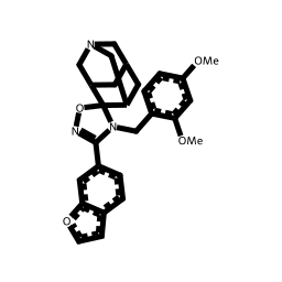 COc1ccc(CN2C(c3ccc4ccoc4c3)=NOC23C2CC4CC3CN(C4)C2)c(OC)c1